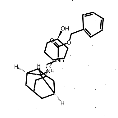 O=C(NC[C@@]12CC3C[C@H](C1)[C@@H](N[C@H]1CC[C@H](O)CC1)[C@@H](C3)C2)OCc1ccccc1